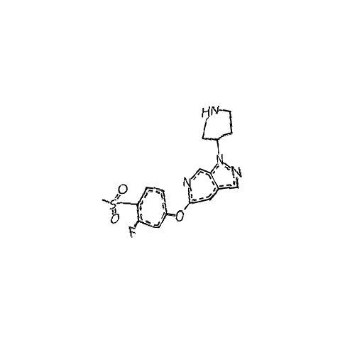 CS(=O)(=O)c1ccc(Oc2cc3cnn(C4CCNCC4)c3cn2)cc1F